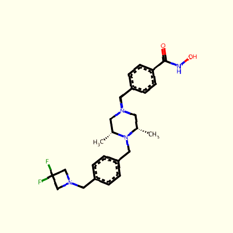 C[C@@H]1CN(Cc2ccc(C(=O)NO)cc2)C[C@H](C)N1Cc1ccc(CN2CC(F)(F)C2)cc1